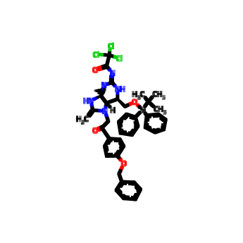 C=C1N[C@]23C=CCN2/C(=N\C(=O)C(Cl)(Cl)Cl)N[C@@H](CO[Si](c2ccccc2)(c2ccccc2)C(C)(C)C)[C@@H]3N1CC(=O)c1ccc(OCc2ccccc2)cc1